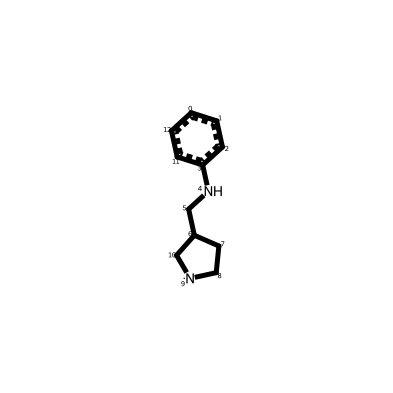 c1ccc(NCC2CC[N]C2)cc1